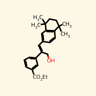 CCOC(=O)c1cccc(/C(=C/c2ccc3c(c2)C(C)(C)CCC3(C)C)CO)c1